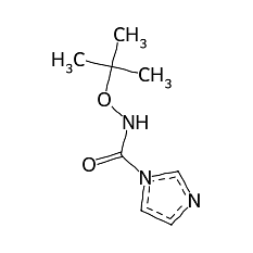 CC(C)(C)ONC(=O)n1ccnc1